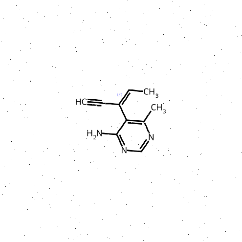 C#C/C(=C/C)c1c(C)ncnc1N